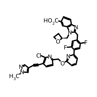 Cn1cc(C#Cc2ccc(COc3cccc(-c4cc(F)c(Cc5nc6ccc(C(=O)O)cc6n5C[C@@H]5CCO5)cc4F)n3)nc2Cl)cn1